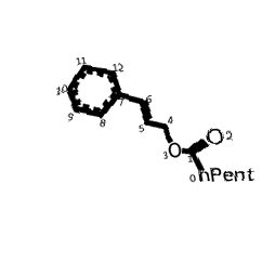 CCCCCC(=O)OCC=Cc1ccccc1